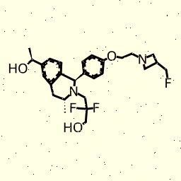 C[C@H](O)c1ccc2c(c1)C[C@@H](C)N(CC(F)(F)CO)[C@@H]2c1ccc(OCCN2CC(CF)C2)cc1